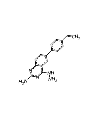 C=Cc1ccc(-c2ccc3nc(N)nc(NN)c3c2)cc1